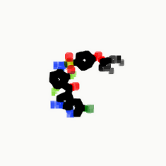 CC(C)Oc1ccc(S(=O)(=O)Nc2ccc(F)c(C(=O)c3c[nH]c4ncc(Cl)cc34)c2F)cc1